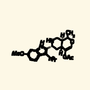 CCCc1c([C@H]2C[C@H]3C(OC(C)=O)=CO[C@H](C)[C@@H]3CN2)[nH]c2cc(OC)ccc12